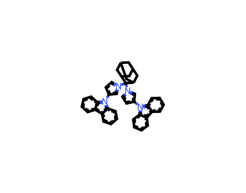 c1ccc2c(c1)c1ccccc1n2-c1ccn(C2(n3ccc(-n4c5ccccc5c5ccccc54)c3)C3CC4CC(C3)CC2C4)c1